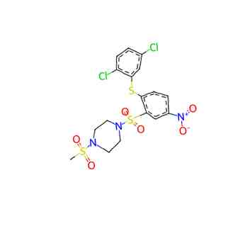 CS(=O)(=O)N1CCN(S(=O)(=O)c2cc([N+](=O)[O-])ccc2Sc2cc(Cl)ccc2Cl)CC1